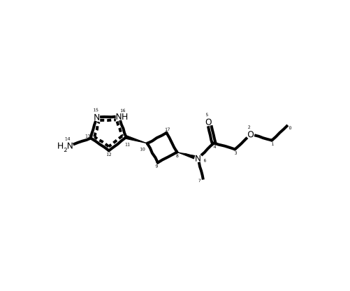 CCOCC(=O)N(C)[C@H]1C[C@@H](c2cc(N)n[nH]2)C1